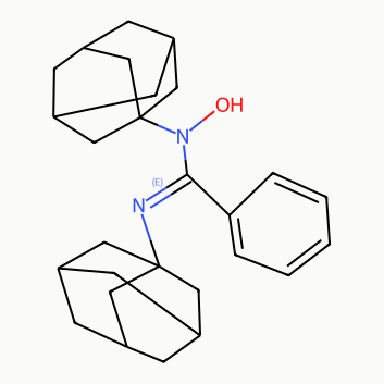 ON(/C(=N/C12CC3CC(CC(C3)C1)C2)c1ccccc1)C12CC3CC(CC(C3)C1)C2